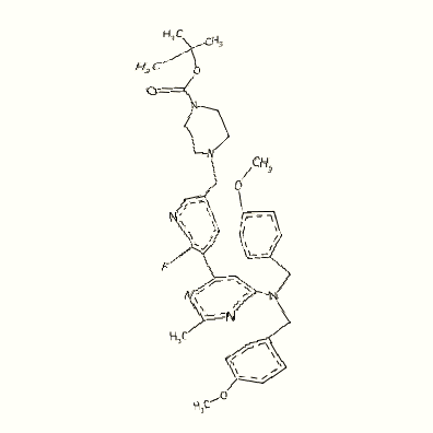 COc1ccc(CN(Cc2ccc(OC)cc2)c2cc(-c3cc(CN4CCN(C(=O)OC(C)(C)C)CC4)cnc3F)nc(C)n2)cc1